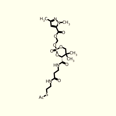 CC(=O)SCCNC(=O)CCNC(=O)[C@@H]1OP(=O)(OCOC(=O)c2cc(C)nn2C)OCC1(C)C